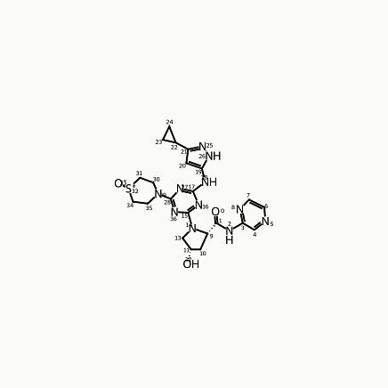 O=C(Nc1cnccn1)[C@@H]1C[C@H](O)CN1c1nc(Nc2cc(C3CC3)n[nH]2)nc(N2CC[S+]([O-])CC2)n1